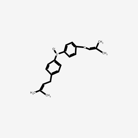 CC(C)=CCc1ccc([S+]([O-])c2ccc(CC=C(C)C)cc2)cc1